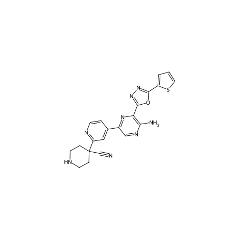 N#CC1(c2cc(-c3cnc(N)c(-c4nnc(-c5cccs5)o4)n3)ccn2)CCNCC1